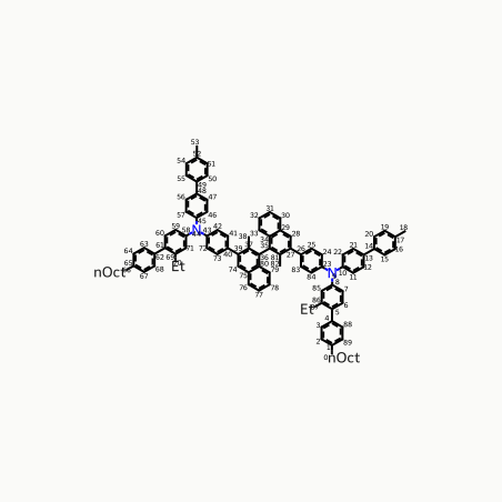 CCCCCCCCc1ccc(-c2ccc(N(c3ccc(-c4ccc(C)cc4)cc3)c3ccc(-c4cc5ccccc5c(-c5c(C)c(-c6ccc(N(c7ccc(-c8ccc(C)cc8)cc7)c7ccc(-c8ccc(CCCCCCCC)cc8)c(CC)c7)cc6)cc6ccccc56)c4C)cc3)cc2CC)cc1